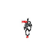 C#CC1(O)CC[C@H]2[C@@H]3CCC4=C(CCC(=O)C4)[C@H]3CC[C@@]21C